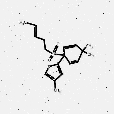 CC=CCCS(=O)(=O)C1(c2cc(C)cs2)C=CC(C)(C)C=C1